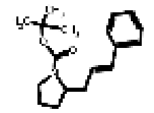 CC(C)(C)OC(=O)N1CCCC1CC=Cc1ccccc1